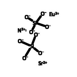 [Eu+3].[N+3].[O-][Si]([O-])([O-])[O-].[O-][Si]([O-])([O-])[O-].[Sr+2]